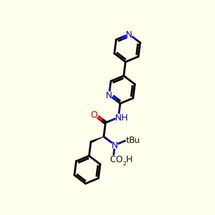 CC(C)(C)N(C(=O)O)[C@@H](Cc1ccccc1)C(=O)Nc1ccc(-c2ccncc2)cn1